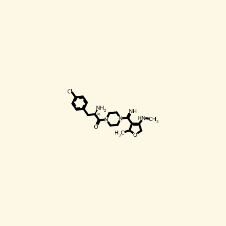 CNC1=C(C(=N)N2CCN(C(=O)[C@H](N)Cc3ccc(Cl)cc3)CC2)C(C)OC1